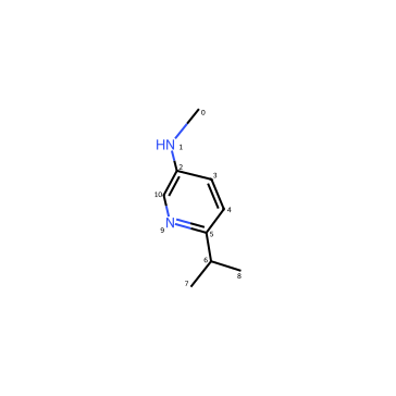 CNc1ccc(C(C)C)nc1